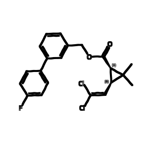 CC1(C)[C@H](C(=O)OCc2cccc(-c3ccc(F)cc3)c2)[C@@H]1C=C(Cl)Cl